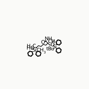 CC(C)(CCCC[C@](C)(CO[Si](c1ccccc1)(c1ccccc1)C(C)(C)C)C(N)=O)[Si](O)(c1ccccc1)c1ccccc1